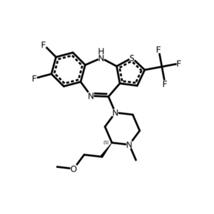 COCC[C@H]1CN(C2=Nc3cc(F)c(F)cc3Nc3sc(C(F)(F)F)cc32)CCN1C